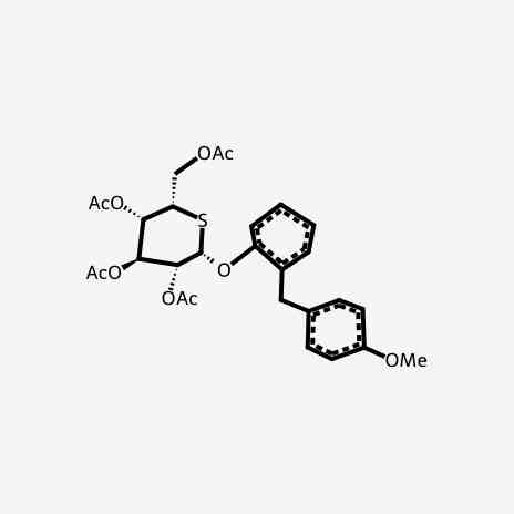 COc1ccc(Cc2ccccc2O[C@H]2S[C@@H](COC(C)=O)[C@@H](OC(C)=O)[C@H](OC(C)=O)[C@H]2OC(C)=O)cc1